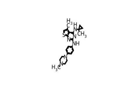 Cc1csc2nc(Nc3ccc(N4CCN(C)CC4)cc3)nc(NC3(C)CC3)c12